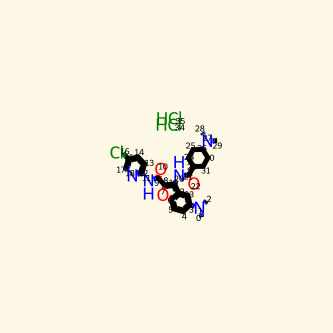 CN(C)c1ccc2oc(C(=O)Nc3ccc(Cl)cn3)c(NC(=O)C3CCC(N(C)C)CC3)c2c1.Cl.Cl